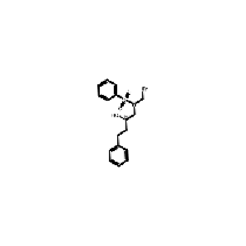 CC(C)CN(C[C@H](O)[CH]Cc1ccccc1)S(=O)(=O)c1ccccc1